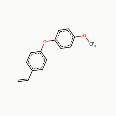 C=Cc1ccc(Oc2ccc(OC(F)(F)F)cc2)cc1